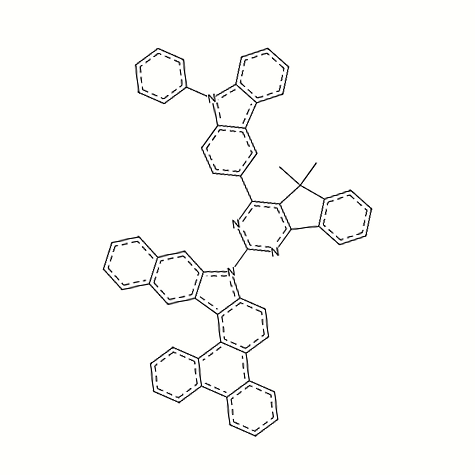 CC1(C)c2ccccc2-c2nc(-n3c4cc5ccccc5cc4c4c5c6ccccc6c6ccccc6c5ccc43)nc(-c3ccc4c(c3)c3ccccc3n4-c3ccccc3)c21